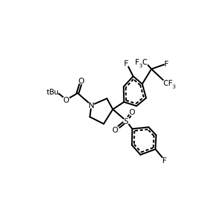 CC(C)(C)OC(=O)N1CCC(c2ccc(C(F)(C(F)(F)F)C(F)(F)F)c(F)c2)(S(=O)(=O)c2ccc(F)cc2)C1